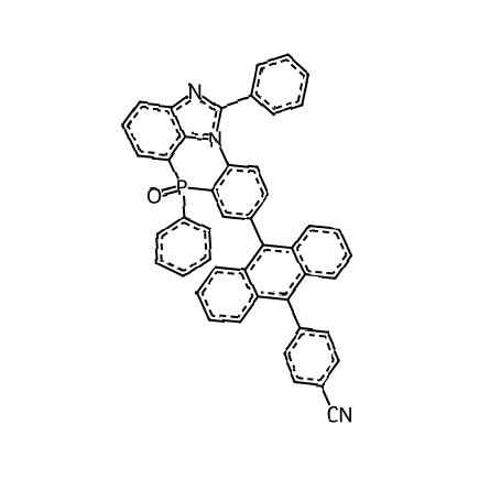 N#Cc1ccc(-c2c3ccccc3c(-c3ccc4c(c3)P(=O)(c3ccccc3)c3cccc5nc(-c6ccccc6)n-4c35)c3ccccc23)cc1